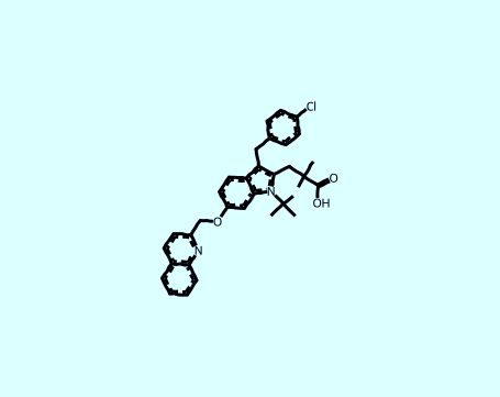 CC(C)(Cc1c(Cc2ccc(Cl)cc2)c2ccc(OCc3ccc4ccccc4n3)cc2n1C(C)(C)C)C(=O)O